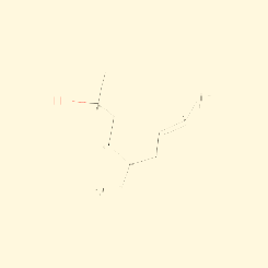 COC(CC=CC(C)C)CCC(C)O